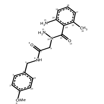 COc1ccc(CNC(=O)CN(N)C(=O)c2c(C)cccc2N)cc1